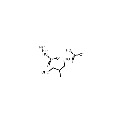 CC(CC=O)CC=O.O=S([O-])O.O=S([O-])O.[Na+].[Na+]